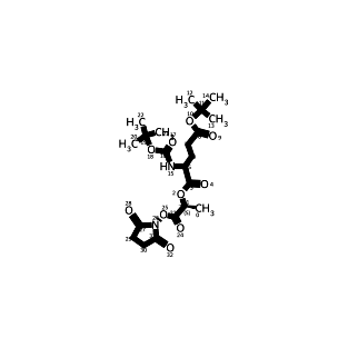 C[C@H](OC(=O)C(CCC(=O)OC(C)(C)C)NC(=O)OC(C)(C)C)C(=O)ON1C(=O)CCC1=O